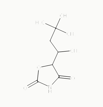 CC(CC(C)(C)C)C1OC(=O)NC1=O